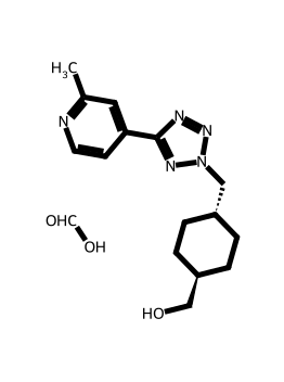 Cc1cc(-c2nnn(C[C@H]3CC[C@H](CO)CC3)n2)ccn1.O=CO